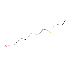 CCCSCCCCCC[O]